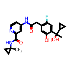 CC(O)(c1cc(F)c(CC(=O)Nc2ccnc(C(=O)NC3(C(F)(F)F)CC3)c2)cc1O)C1CC1